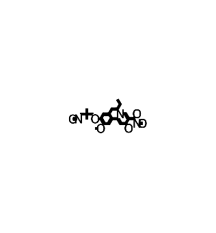 CCC1Cc2cc(OCC(C)(C)CN=O)c(OC)cc2-c2cc(=O)c(C(=O)N=O)cn21